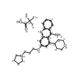 Nc1c2ccccc2nc2cc(OCCCN3CCCC3)cc(C3CCOCC3)c12.O=C(O)C(F)(F)F